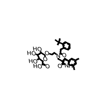 Cc1cc(C)c2[nH]c(=O)c(CN(CCOC3OC(C(=O)O)C(O)C(O)C3O)C(=O)Cc3ccccc3C(C)(C)C)cc2c1